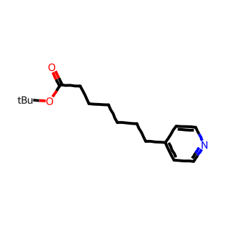 CC(C)(C)OC(=O)CCCCCCc1ccncc1